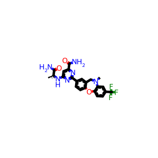 C[C@H](Nc1cc(C(N)=O)nc(-c2ccc3c(c2)CN(C)c2cc(C(F)(F)F)ccc2O3)n1)C(N)=O